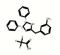 Cc1cccc(CC2=N[C@H](c3ccccc3)[C@H](c3ccccc3)N2)c1.O=C(O)C(F)(F)F